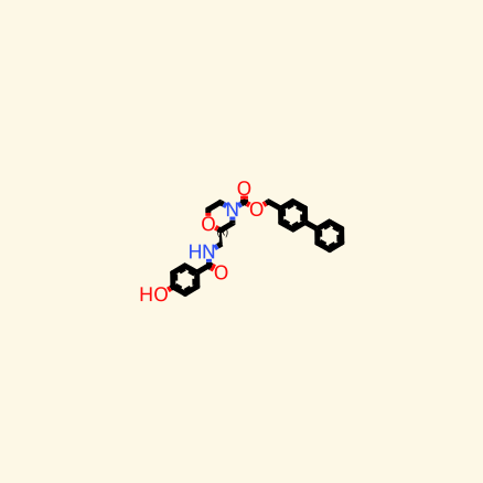 O=C(NC[C@@H]1CN(C(=O)OCc2ccc(-c3ccccc3)cc2)CCO1)c1ccc(O)cc1